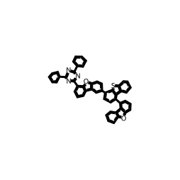 c1ccc(-c2nc(-c3ccccc3)nc(-c3cccc4c3oc3ccc(-c5ccc(-c6cccc7oc8ccccc8c67)c6c5sc5ccccc56)cc34)n2)cc1